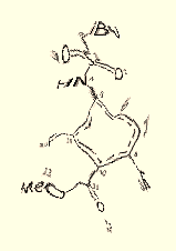 CCC(C)S(=O)(=O)Nc1ccc(F)c(C(=O)OC)c1F